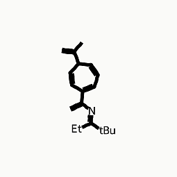 C=C(/N=C(\CC)C(C)(C)C)C1=CC=CC(C(=C)C)C=C1